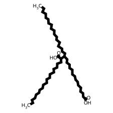 CCCCCCCCCCCCCCCCCCC(CCCCCCCCCCCCCCC(=O)O)C(CCCCCCCCCCCCCCCCCC)C(=O)O